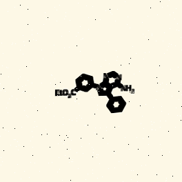 CCOC(=O)c1cccc(-n2cc(-c3ccccc3)c3c(N)ncnc32)c1